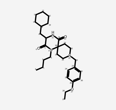 CCCCN1C(=O)C(CC2CCCCC2)NC(=O)C12CCN(Cc1ccc(OCC)cc1)CC2